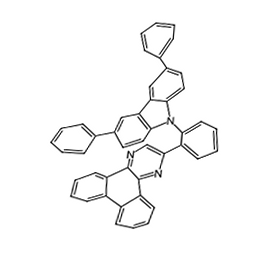 c1ccc(-c2ccc3c(c2)c2cc(-c4ccccc4)ccc2n3-c2ccccc2-c2cnc3c4ccccc4c4ccccc4c3n2)cc1